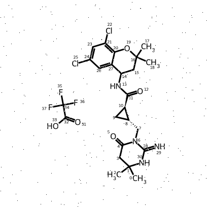 CC1(C)CC(=O)N(C[C@@H]2C[C@H]2C(=O)NC2CC(C)(C)Oc3c(Cl)cc(Cl)cc32)C(=N)N1.O=C(O)C(F)(F)F